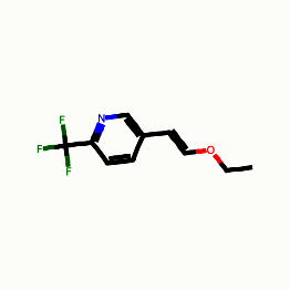 CCOC=Cc1ccc(C(F)(F)F)nc1